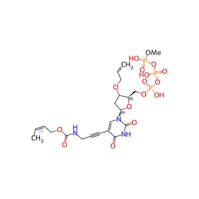 C=CCOC1C[C@H](n2cc(C#CCNC(=O)OC/C=C\C)c(=O)[nH]c2=O)O[C@@H]1COP(=O)(O)OP(=O)(O)OP(=O)(O)OC